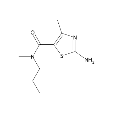 CCCN(C)C(=O)c1sc(N)nc1C